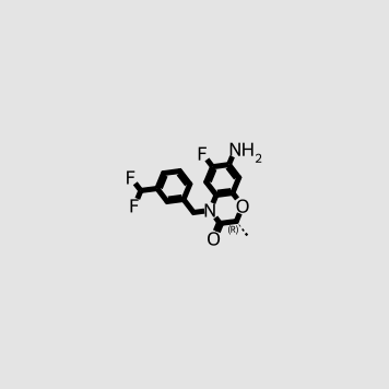 C[C@H]1Oc2cc(N)c(F)cc2N(Cc2cccc(C(F)F)c2)C1=O